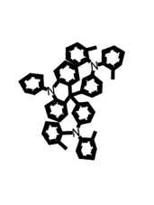 Cc1ccccc1N(c1cccc(C2(c3cccc(N(c4ccccc4C)c4ccccc4C)c3)c3ccccc3N(c3ccccc3)c3ccccc32)c1)c1ccccc1C